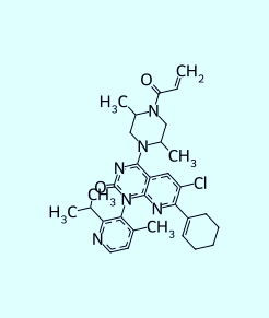 C=CC(=O)N1CC(C)N(c2nc(=O)n(-c3c(C)ccnc3C(C)C)c3nc(C4=CCCCC4)c(Cl)cc23)CC1C